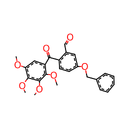 COc1cc(C(=O)c2ccc(OCc3ccccc3)cc2C=O)c(OC)c(OC)c1OC